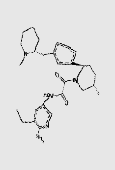 CCc1cc(NC(=O)C(=O)N2C[C@@H](C)CC[C@@H]2c2cccc(C[C@H]3CCCCN3C)c2)cnc1N